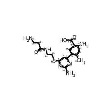 Cc1cc(C)c(-c2cc(SCCNC(=O)CCN)nc(N)n2)cc1C(=O)O